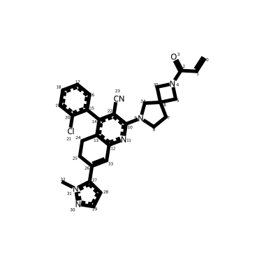 C=CC(=O)N1CC2(CCN(c3nc4c(c(-c5ccccc5Cl)c3C#N)CCC(c3ccnn3C)=C4)C2)C1